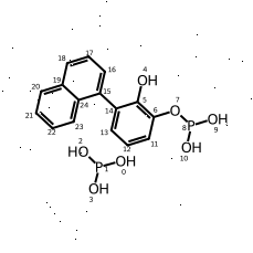 OP(O)O.Oc1c(OP(O)O)cccc1-c1cccc2ccccc12